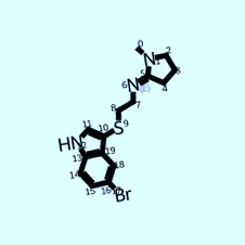 CN1CCC/C1=N\CCSc1c[nH]c2ccc(Br)cc12